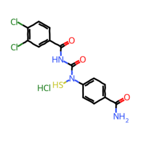 Cl.NC(=O)c1ccc(N(S)C(=O)NC(=O)c2ccc(Cl)c(Cl)c2)cc1